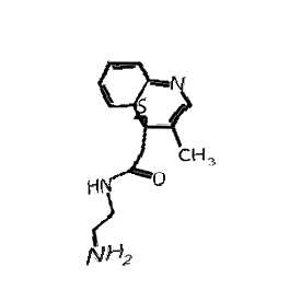 CC1=CN=C2C=CC=CC23SCC(C(=O)NCCN)=C13